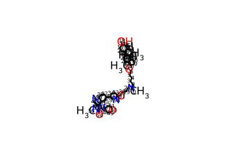 CN(CCCCCO[C@H]1CC[C@H]2[C@@H]3CC[C@H]4CC(O)CC[C@]4(C)[C@H]3CC[C@]12C)CCCOc1ccc(-c2ccc3ncc4c(c3c2)n(C2CCOCC2)c(=O)n4C)cn1